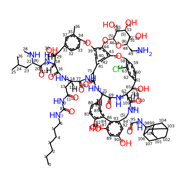 CCCCCCCNC(=O)NC(=O)C[C@@H]1NC(=O)[C@H](NC(=O)[C@@H](CC(C)C)NC)[C@H](O)c2ccc(c(C)c2)Oc2cc3cc(c2O[C@@H]2O[C@H](CN)[C@@H](O)[C@H](O)[C@H]2O)Oc2ccc(cc2Cl)[C@@H](O)[C@@H]2NC(=O)[C@H](NC(=O)C3NC1=O)c1ccc(O)c(c1)-c1c(O)cc(O)cc1[C@@H](C(=O)NC1C3CC4CC(C3)CC1C4)NC2=O